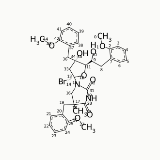 COc1ccccc1CC(O)[C@H]1O[C@@](Br)(N2CC(C)(Cc3ccccc3OC)C(=O)NC2=O)C[C@@]1(O)Cc1ccccc1OC